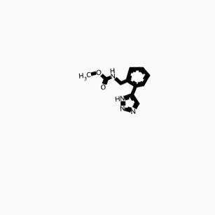 COC(=O)NCc1ccccc1-c1cnn[nH]1